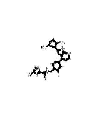 Cc1ccc(N)c(-c2nc3c(-c4ccc(CNC(=O)c5nc(C(C)(C)C)no5)c(F)c4)ccnc3[nH]2)c1